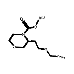 COCOCCC1COCCN1C(=O)OC(C)(C)C